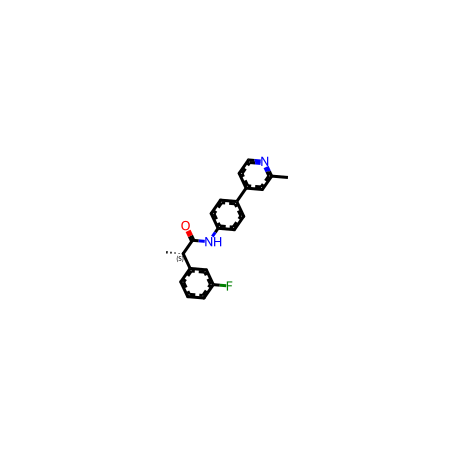 Cc1cc(-c2ccc(NC(=O)[C@@H](C)c3cccc(F)c3)cc2)ccn1